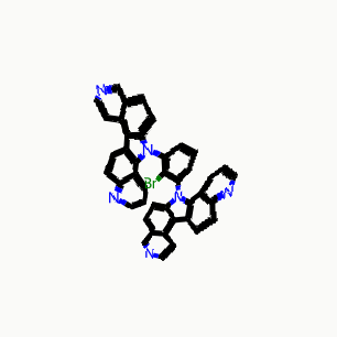 Brc1c(-n2c3ccc4cnccc4c3c3ccc4ncccc4c32)cccc1-n1c2ccc3cnccc3c2c2ccc3ncccc3c21